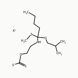 CCCCC(NCCOC(=S)[S-])(OCC(C)C)SC.[K+]